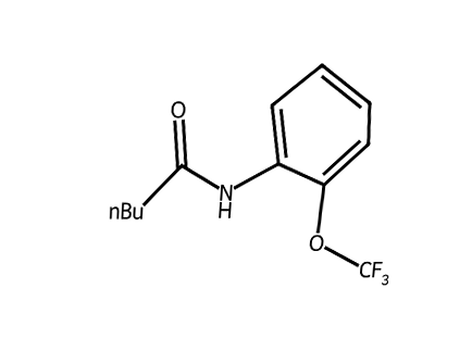 CCCCC(=O)Nc1ccccc1OC(F)(F)F